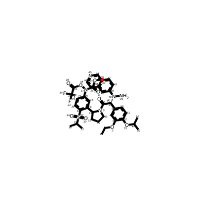 CCOc1cc([C@H](C(=O)N2CCCC2c2cc(N(OC(=O)C(F)(F)F)C(=O)OC)ccc2S(=O)(=O)C(C)C)N(N)c2ccc3cnccc3c2)ccc1OC(C)C